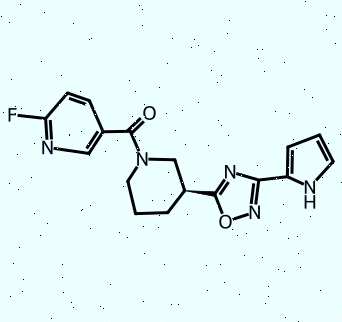 O=C(c1ccc(F)nc1)N1CCC[C@H](c2nc(-c3ccc[nH]3)no2)C1